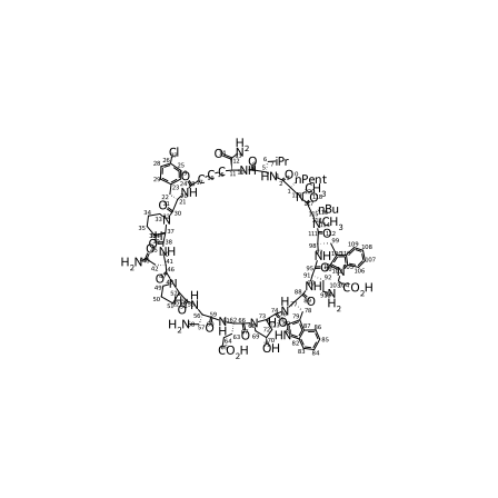 CCCCC[C@H]1C(=O)N[C@@H](CC(C)C)C(=O)N[C@H](C(N)=O)CCCC(=O)N[C@@H](Cc2ccc(Cl)cc2)C(=O)N2CCCC[C@H]2C(=O)N[C@@H](CC(N)=O)C(=O)N2CCC[C@H]2C(=O)N[C@@H](CN)C(=O)N[C@@H](CCC(=O)O)C(=O)N2C[C@H](O)C[C@H]2C(=O)N[C@@H](Cc2c[nH]c3ccccc23)C(=O)N[C@@H](CCN)C(=O)N[C@@H](Cc2cn(CC(=O)O)c3ccccc23)C(=O)N(C)[C@@H](CCCC)C(=O)N1C